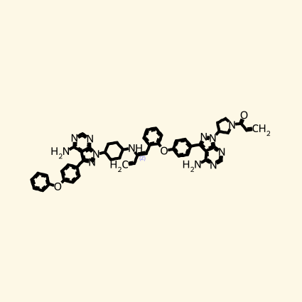 C=CC(=O)N1CCC(n2nc(-c3ccc(Oc4ccccc4/C=C(/C=C)NC4CCC(n5nc(-c6ccc(Oc7ccccc7)cc6)c6c(N)ncnc65)CC4)cc3)c3c(N)ncnc32)C1